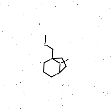 COCC12CCCC(CC1)N2C